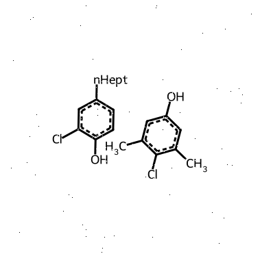 CCCCCCCc1ccc(O)c(Cl)c1.Cc1cc(O)cc(C)c1Cl